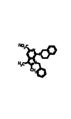 Cc1c(C)n(Cc2ccccc2)c2c(N3CCc4ccccc4C3)nc(C(=O)O)cc12